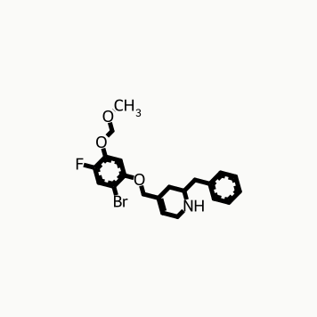 COCOc1cc(OCC2=CCNC(Cc3ccccc3)C2)c(Br)cc1F